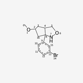 COC1CC2CONC2(c2cccc(Br)c2)C1